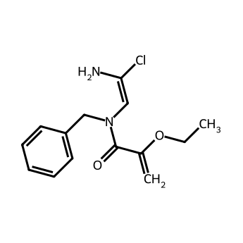 C=C(OCC)C(=O)N(/C=C(\N)Cl)Cc1ccccc1